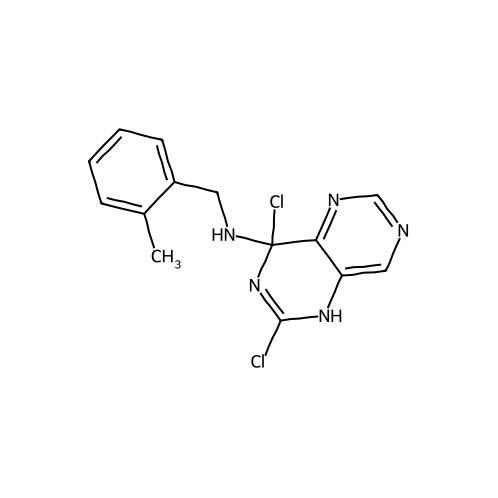 Cc1ccccc1CNC1(Cl)N=C(Cl)Nc2cncnc21